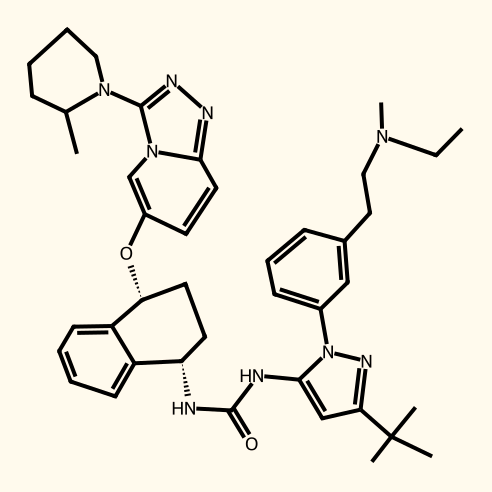 CCN(C)CCc1cccc(-n2nc(C(C)(C)C)cc2NC(=O)N[C@H]2CC[C@@H](Oc3ccc4nnc(N5CCCCC5C)n4c3)c3ccccc32)c1